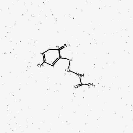 CC(=O)NOCC1=CC(Cl)=CCC1=S